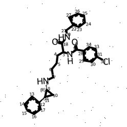 O=C(NC(CCCCN[C@@H]1C[C@H]1c1ccccc1)C(=O)NCc1ccccc1)c1ccc(Cl)cc1